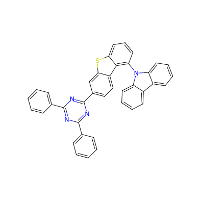 c1ccc(-c2nc(-c3ccccc3)nc(-c3ccc4c(c3)sc3cccc(-n5c6ccccc6c6ccccc65)c34)n2)cc1